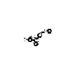 CN(C(=O)C1CCN(CCOc2ccccc2)CC1)[C@H](c1ccc(Cl)cc1)c1ccccn1